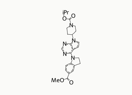 COC(=O)c1ccc2c(c1)CCN2c1ncnc2c1ccn2C1CCN(C(=O)OC(C)C)CC1